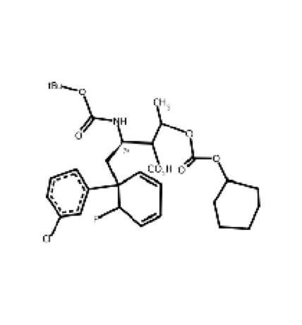 CC(OC(=O)OC1CCCCC1)C(C(=O)O)[C@@H](CC1(c2cccc(Cl)c2)C=CC=CC1F)NC(=O)OC(C)(C)C